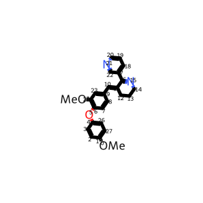 COc1ccc(Oc2ccc(C=C3CCCN=C3c3cccnc3)cc2OC)cc1